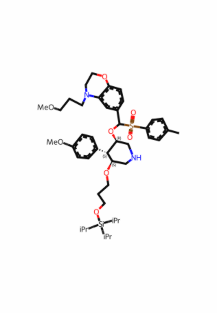 COCCCN1CCOc2ccc(C(O[C@H]3CNC[C@@H](OCCCO[Si](C(C)C)(C(C)C)C(C)C)[C@@H]3c3ccc(OC)cc3)S(=O)(=O)c3ccc(C)cc3)cc21